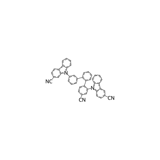 N#Cc1ccc(-c2ccccc2-c2cccc(-n3c4ccccc4c4ccc(C#N)cc43)c2)c(-n2c3ccccc3c3cc(C#N)ccc32)c1